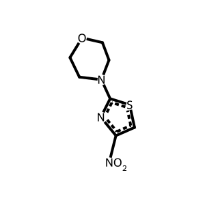 O=[N+]([O-])c1csc(N2CCOCC2)n1